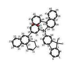 CC1(C)c2ccccc2-c2ccc(N(c3cccc(-c4cc5ccccc5c5c4CCC=C5)c3)c3ccc4ccccc4c3-c3ccccc3)cc21